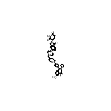 O=C1CC[C@H](N2Cc3cc(N4CCN(CC5CCN(c6ccc([C@@H]7c8ccc(O)cc8C(F)(F)C[C@@H]7C7CCCC7)cc6)CC5)CC4)ccc3C2=O)C(=O)N1